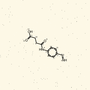 N=Nc1ccc(NC(=O)CCC(=O)O)cc1